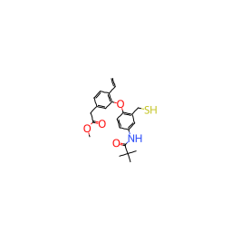 C=Cc1ccc(CC(=O)OC)cc1Oc1ccc(NC(=O)C(C)(C)C)cc1CS